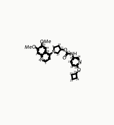 COc1cc2nccc(N3CCC(OC(=O)Nc4ccc(OC5CCC5)nc4)C3)c2cc1OC